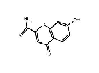 NC(=S)c1cc(=O)c2ccc(O)cc2o1